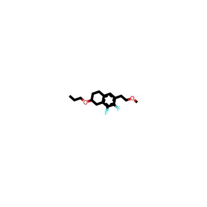 CCCOC1CCc2cc(CCOC)c(F)c(F)c2C1